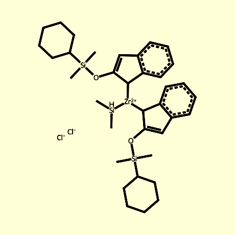 C[SiH](C)[Zr+2]([CH]1C(O[Si](C)(C)C2CCCCC2)=Cc2ccccc21)[CH]1C(O[Si](C)(C)C2CCCCC2)=Cc2ccccc21.[Cl-].[Cl-]